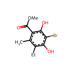 CCc1c(C)c(C(=O)OC)c(O)c(Br)c1O